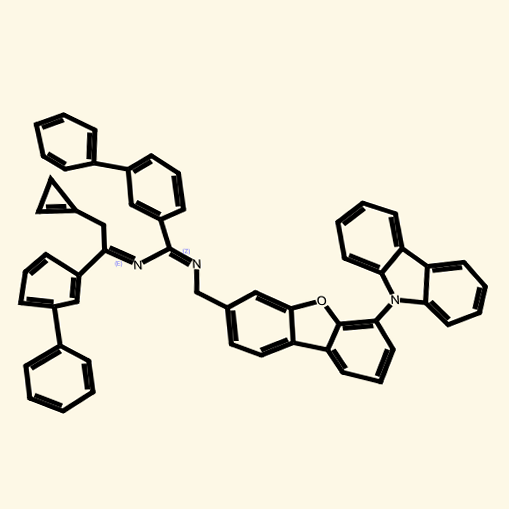 C1=C(C/C(=N\C(=N/Cc2ccc3c(c2)oc2c(-n4c5ccccc5c5ccccc54)cccc23)c2cccc(-c3ccccc3)c2)c2cccc(-c3ccccc3)c2)C1